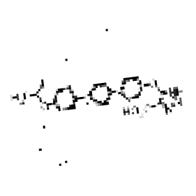 CC(I)Oc1ccc(-c2ccc(-c3ccc(Oc4[nH]nnc4C(=O)O)cc3)cc2)cc1